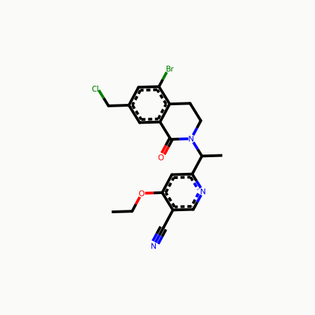 CCOc1cc(C(C)N2CCc3c(Br)cc(CCl)cc3C2=O)ncc1C#N